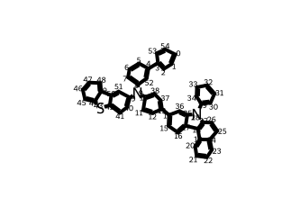 c1ccc(-c2cccc(N(c3ccc(-c4ccc5c6c7ccccc7ccc6n(-c6ccccc6)c5c4)cc3)c3ccc4sc5ccccc5c4c3)c2)cc1